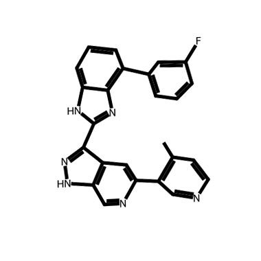 Cc1ccncc1-c1cc2c(-c3nc4c(-c5cccc(F)c5)cccc4[nH]3)n[nH]c2cn1